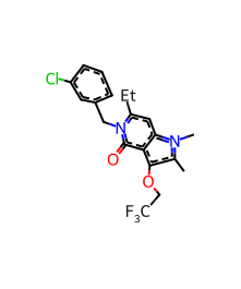 CCc1cc2c(c(OCC(F)(F)F)c(C)n2C)c(=O)n1Cc1cccc(Cl)c1